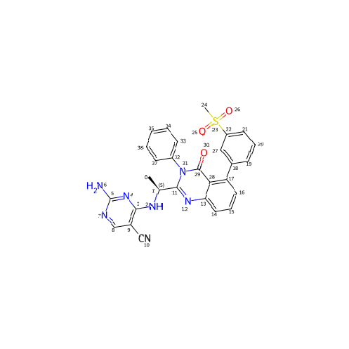 C[C@H](Nc1nc(N)ncc1C#N)c1nc2cccc(-c3cccc(S(C)(=O)=O)c3)c2c(=O)n1-c1ccccc1